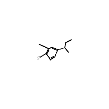 CCC(C)c1ccc(F)c(C)c1